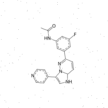 CC(=O)Nc1cc(F)cc(C2=NN3C(c4ccncc4)=CNC3C=C2)c1